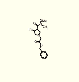 CCC1CN(CC(=O)OCc2ccccc2)C[C@@H]1C(=O)N(C)OC